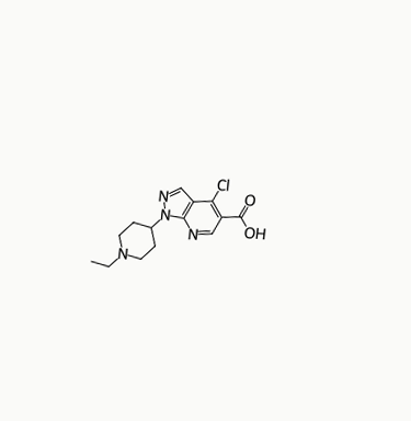 CCN1CCC(n2ncc3c(Cl)c(C(=O)O)cnc32)CC1